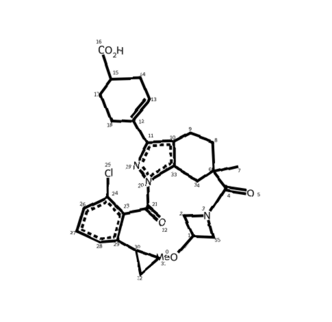 COC1CN(C(=O)C2(C)CCc3c(C4=CCC(C(=O)O)CC4)nn(C(=O)c4c(Cl)cccc4C4CC4)c3C2)C1